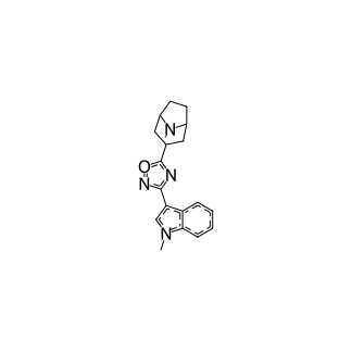 CN1C2CCC1CC(c1nc(-c3cn(C)c4ccccc34)no1)C2